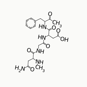 CNC(CC(N)=O)C(=O)NCC(=O)NC(CC(=O)O)C(=O)NC(Cc1ccccc1)C(C)=O